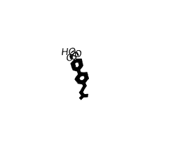 CC(C)CCc1ccc(-c2ccc(S(=O)(=O)O)cc2)cc1